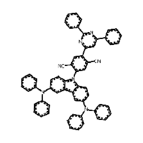 N#Cc1cc(-n2c3ccc(N(c4ccccc4)c4ccccc4)cc3c3cc(N(c4ccccc4)c4ccccc4)ccc32)c(C#N)cc1-c1cc(-c2ccccc2)nc(-c2ccccc2)n1